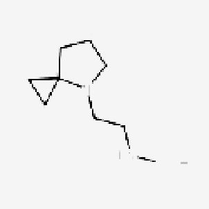 O=C(O)NCCN1CCCC12CC2